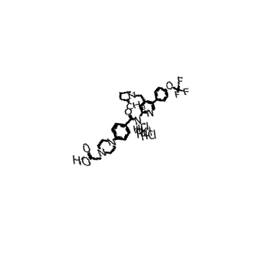 CC1CCCN1Cc1cc(NC(=O)c2ccc(N3CCN(CC(=O)O)CC3)cc2)ncc1-c1ccc(OC(F)(F)F)cc1.Cl.Cl.Cl